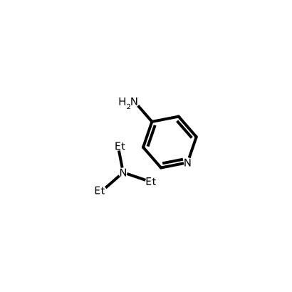 CCN(CC)CC.Nc1ccncc1